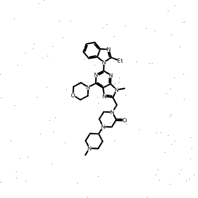 CCc1nc2ccccc2n1-c1nc(N2CCOCC2)c2nc(CN3CCN(C4CCN(C)CC4)CC3=O)n(C)c2n1